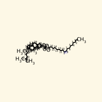 CCCCCCCC/C=C\CCCCCCCC(=O)OC(=O)O[C@H]1CC[C@@]2(C)C(=CC[C@H]3[C@@H]4CC[C@H](C(C)CCCC(C)C)[C@@]4(C)CC[C@@H]32)C1